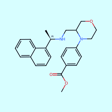 COC(=O)c1ccc(N2CCOCC2CN[C@H](C)c2cccc3ccccc23)cc1